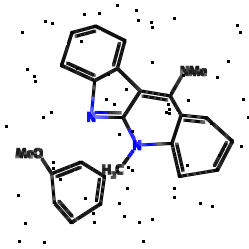 CNc1c2c3ccccc3nc-2n(C)c2ccccc12.COc1ccccc1